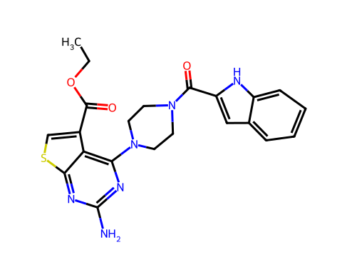 CCOC(=O)c1csc2nc(N)nc(N3CCN(C(=O)c4cc5ccccc5[nH]4)CC3)c12